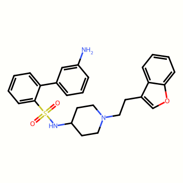 Nc1cccc(-c2ccccc2S(=O)(=O)NC2CCN(CCc3coc4ccccc34)CC2)c1